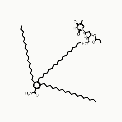 CCC(=O)O[C@H]1C[C@H](n2cc(C)c(=O)[nH]c2=O)O[C@@H]1CO.CCCCCCCCCCCCCCCCCCc1cc(C(N)=O)cc(CCCCCCCCCCCCCCCCCC)c1CCCCCCCCCCCCCCCCCC